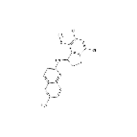 COc1c(Cl)cc(Cl)c2c1C(Nc1ccc3cc(N)ccc3n1)CC2